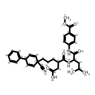 COC(=O)c1ccc(NC(=O)C(CC(C)C)NC(=O)C(CCCC2(C#N)C=CC(c3ccccc3)C=C2)CC(=O)O)cc1